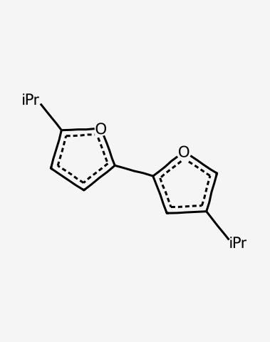 CC(C)c1coc(-c2ccc(C(C)C)o2)c1